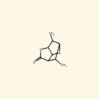 CC1C2OC(=O)C3C(C)C1SC23